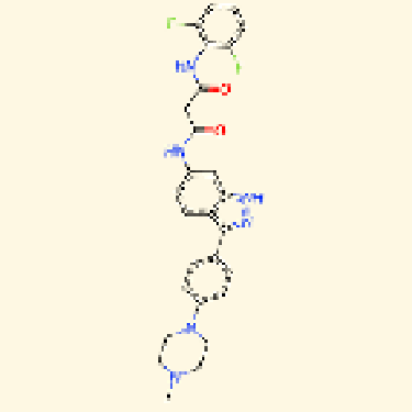 CN1CCN(c2ccc(-c3n[nH]c4cc(NC(=O)CC(=O)Nc5c(F)cccc5F)ccc34)cc2)CC1